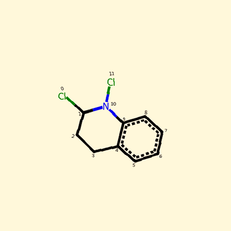 ClC1CCc2ccccc2N1Cl